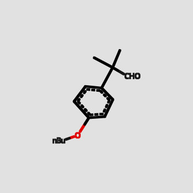 CCCCOc1ccc(C(C)(C)C=O)cc1